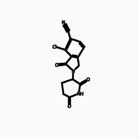 N#Cc1ccc2c(c1Cl)C(=O)N(C1CCC(=O)NC1=O)C2